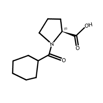 O=C(O)[C@@H]1CCCN1C(=O)C1CCCCC1